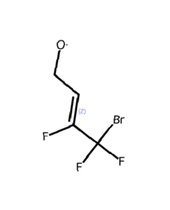 [O]C/C=C(\F)C(F)(F)Br